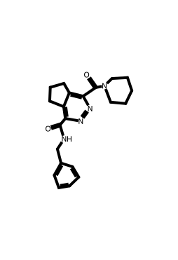 O=C(NCc1ccccc1)c1nnc(C(=O)N2CCCCC2)c2c1CCC2